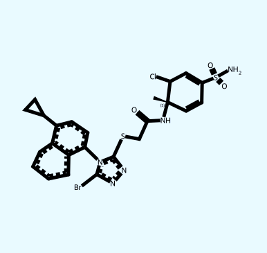 C[C@]1(NC(=O)CSc2nnc(Br)n2-c2ccc(C3CC3)c3ccccc23)C=CC(S(N)(=O)=O)=CC1Cl